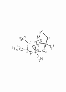 CCC(C)(CC(C)C)OP(=O)(O)OC(C)CC(C)C